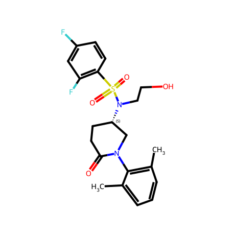 Cc1cccc(C)c1N1C[C@@H](N(CCO)S(=O)(=O)c2ccc(F)cc2F)CCC1=O